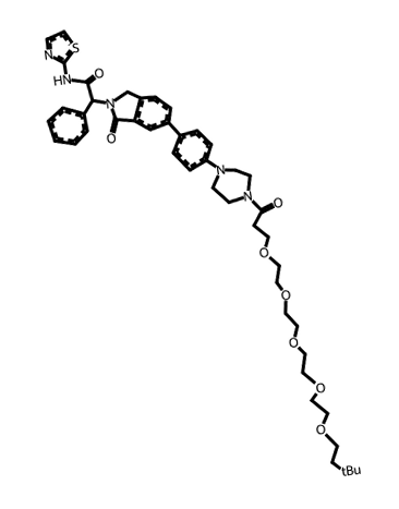 CC(C)(C)CCOCCOCCOCCOCCOCCC(=O)N1CCN(c2ccc(-c3ccc4c(c3)C(=O)N(C(C(=O)Nc3nccs3)c3ccccc3)C4)cc2)CC1